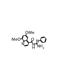 COc1cc(OC)c2nccc(C(=O)NC(N)=Nc3ccccc3)c2c1